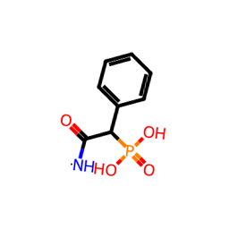 [NH]C(=O)C(c1ccccc1)P(=O)(O)O